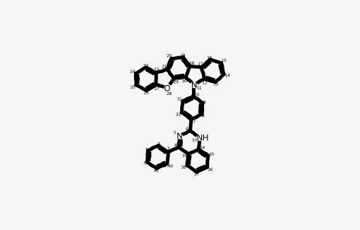 c1ccc(C2=NC(c3ccc(-n4c5ccccc5c5ccc6c7ccccc7oc6c54)cc3)Nc3ccccc32)cc1